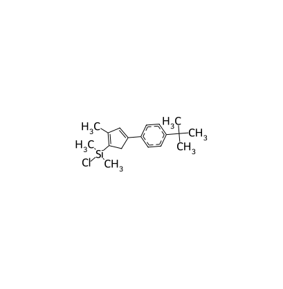 CC1=C([Si](C)(C)Cl)CC(c2ccc(C(C)(C)C)cc2)=C1